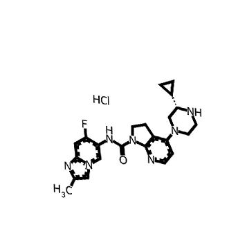 Cc1cn2cc(NC(=O)N3CCc4c(N5CCN[C@@H](C6CC6)C5)ccnc43)c(F)cc2n1.Cl